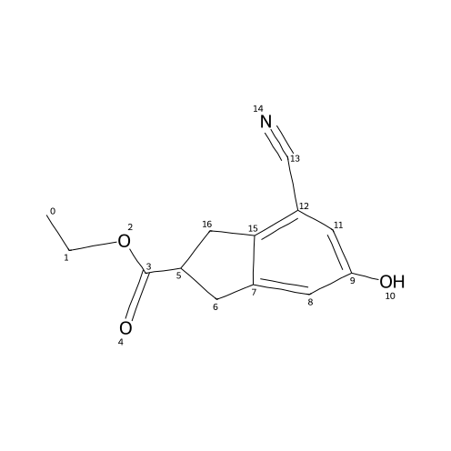 CCOC(=O)C1Cc2cc(O)cc(C#N)c2C1